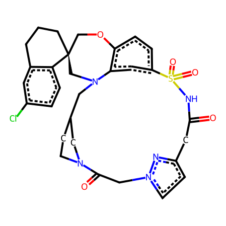 O=C1Cc2ccn(n2)CC(=O)N2CCC(C2)CN2C[C@@]3(CCCc4cc(Cl)ccc43)COc3ccc(cc32)S(=O)(=O)N1